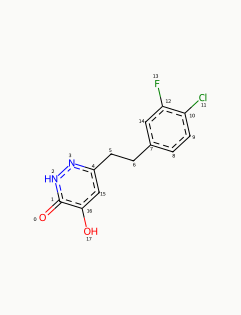 O=c1[nH]nc(CCc2ccc(Cl)c(F)c2)cc1O